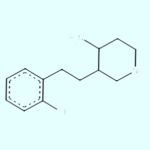 N[C]1CCNCC1CCc1ccccc1O